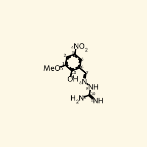 COc1cc([N+](=O)[O-])cc(C=NNC(=N)N)c1O